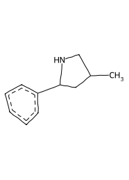 CC1CNC(c2ccccc2)C1